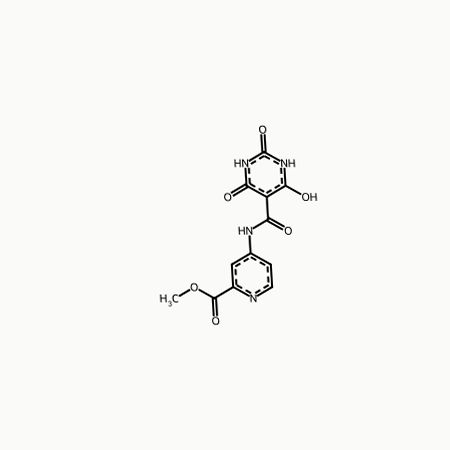 COC(=O)c1cc(NC(=O)c2c(O)[nH]c(=O)[nH]c2=O)ccn1